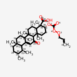 C=CCOOC(=O)O[C@@H]1CC[C@@]2(C)C(CC[C@]3(C)C2C(=O)C=C2C4[C@@H](C)[C@H](C)CC[C@]4(C)CC[C@]23C)[C@@]1(C)C(=O)O